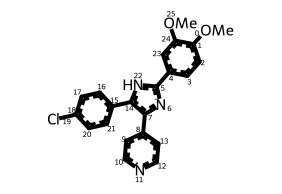 COc1ccc(-c2nc(-c3ccncc3)c(-c3ccc(Cl)cc3)[nH]2)cc1OC